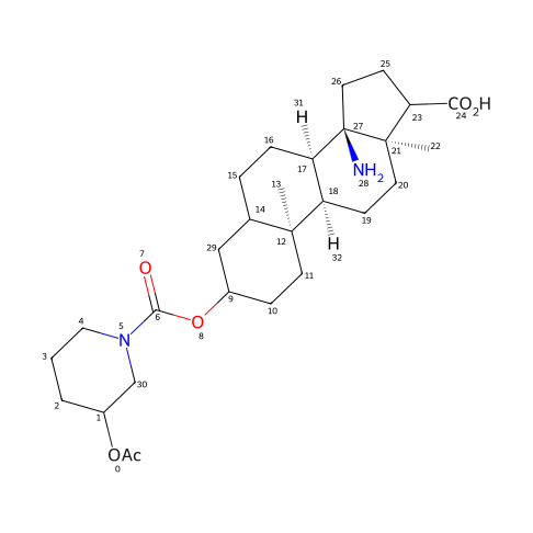 CC(=O)OC1CCCN(C(=O)OC2CC[C@@]3(C)C(CC[C@@H]4[C@H]3CC[C@]3(C)C(C(=O)O)CC[C@@]43N)C2)C1